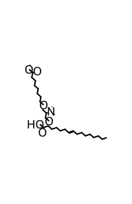 CCCCCCCCC=CCCCCC(OCC(COCCCCCCCC(=O)OC)N(C)C)C(=O)O